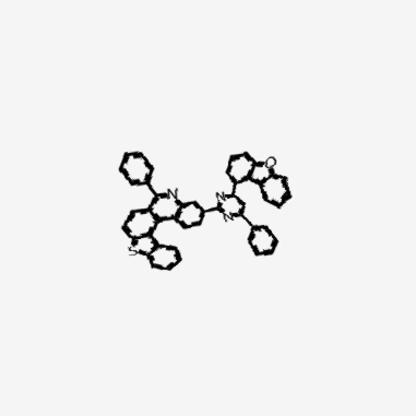 c1ccc(-c2cc(-c3cccc4oc5ccccc5c34)nc(-c3ccc4c(c3)nc(-c3ccccc3)c3ccc5sc6ccccc6c5c34)n2)cc1